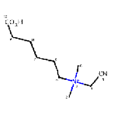 C[N+](C)(CC#N)CCCCCC(=O)O